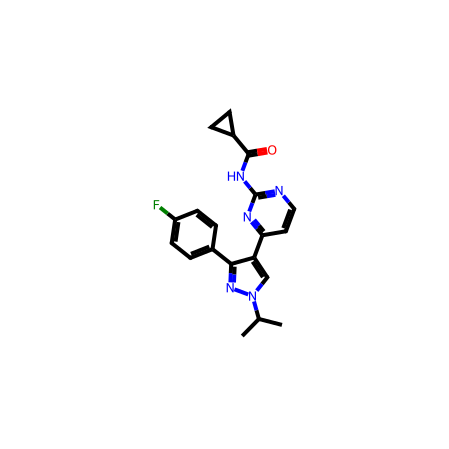 CC(C)n1cc(-c2ccnc(NC(=O)C3CC3)n2)c(-c2ccc(F)cc2)n1